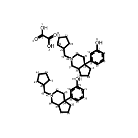 O=C(O)C(=O)O.Oc1cccc(C23CCCC2CN(CC2CCCC2)CC3)c1.Oc1cccc(C23CCCC2CN(CC2CCCC2)CC3)c1